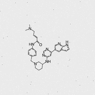 CN(C)C/C=C/C(=O)Nc1ccc(CN2CCCC(Nc3cc(-c4cnc5[nH]ccc5c4)ncn3)C2)cc1